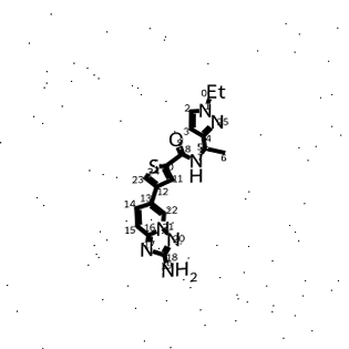 CCn1ccc(C(C)NC(=O)c2cc(-c3ccc4nc(N)nn4c3)cs2)n1